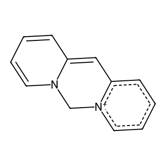 C1=CC2=Cc3cccc[n+]3CN2C=C1